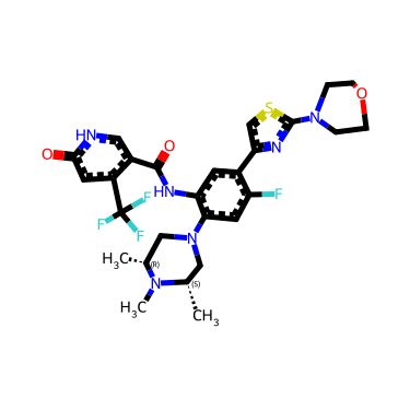 C[C@@H]1CN(c2cc(F)c(-c3csc(N4CCOCC4)n3)cc2NC(=O)c2c[nH]c(=O)cc2C(F)(F)F)C[C@H](C)N1C